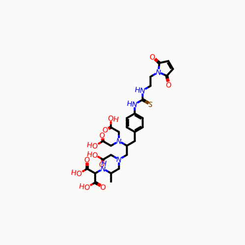 CC(CN(CC(=O)O)CC(Cc1ccc(NC(=S)NCCN2C(=O)C=CC2=O)cc1)N(CC(=O)O)CC(=O)O)NC(C(=O)O)C(=O)O